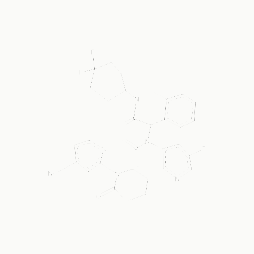 N#Cc1ccnc(N2C(=O)OCC[C@H]2C(=O)N(c2cncc(F)c2)C(C(=O)NC2CCC(F)(F)CC2)c2ccccc2Cl)c1